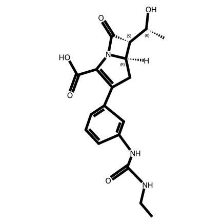 CCNC(=O)Nc1cccc(C2=C(C(=O)O)N3C(=O)[C@H]([C@@H](C)O)[C@H]3C2)c1